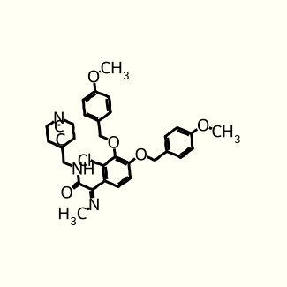 C/N=C(\C(=O)NCC12CCN(CC1)CC2)c1ccc(OCc2ccc(OC)cc2)c(OCc2ccc(OC)cc2)c1Cl